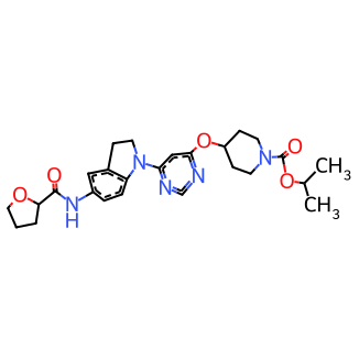 CC(C)OC(=O)N1CCC(Oc2cc(N3CCc4cc(NC(=O)C5CCCO5)ccc43)ncn2)CC1